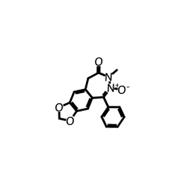 CN1C(=O)Cc2cc3c(cc2C(c2ccccc2)=[N+]1[O-])OCO3